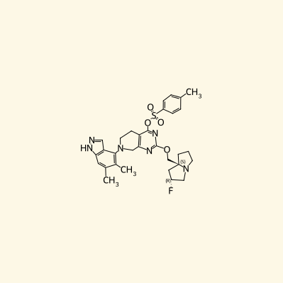 Cc1ccc(S(=O)(=O)Oc2nc(OC[C@@]34CCCN3C[C@H](F)C4)nc3c2CCN(c2c(C)c(C)cc4[nH]ncc24)C3)cc1